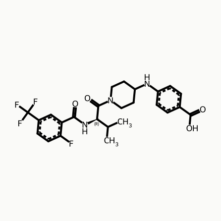 CC(C)[C@@H](NC(=O)c1cc(C(F)(F)F)ccc1F)C(=O)N1CCC(Nc2ccc(C(=O)O)cc2)CC1